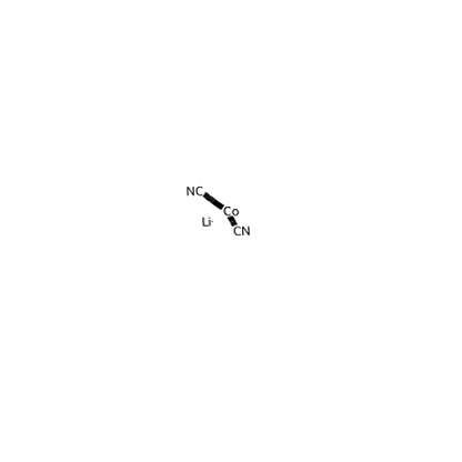 N#[C][Co][C]#N.[Li]